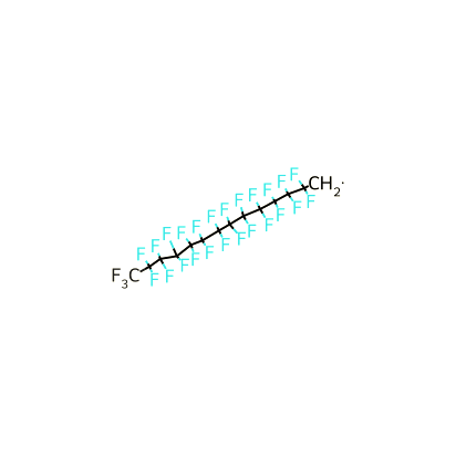 [CH2]C(F)(F)C(F)(F)C(F)(F)C(F)(F)C(F)(F)C(F)(F)C(F)(F)C(F)(F)C(F)(F)C(F)(F)C(F)(F)C(F)(F)C(F)(F)F